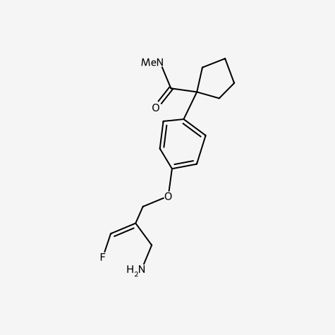 CNC(=O)C1(c2ccc(OCC(=CF)CN)cc2)CCCC1